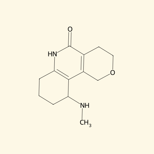 CNC1CCCc2[nH]c(=O)c3c(c21)COCC3